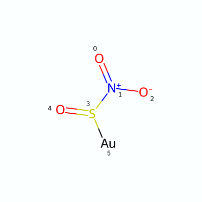 O=[N+]([O-])[S](=O)[Au]